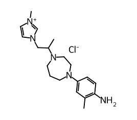 Cc1cc(N2CCCN(C(C)Cn3cc[n+](C)c3)CC2)ccc1N.[Cl-]